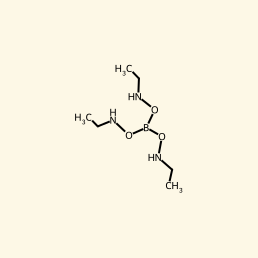 CCNOB(ONCC)ONCC